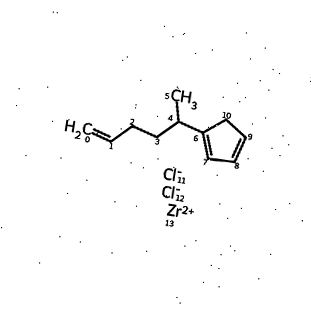 C=CCCC(C)C1=CC=CC1.[Cl-].[Cl-].[Zr+2]